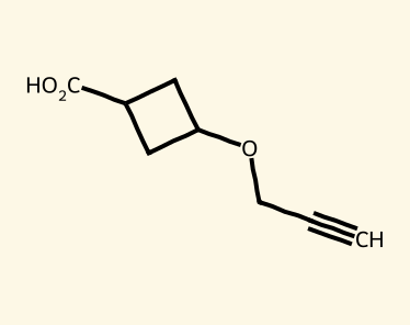 C#CCOC1CC(C(=O)O)C1